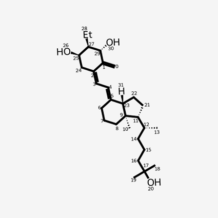 C=C1C(=CC=C2CCC[C@]3(C)[C@@H]([C@H](C)CCCC(C)(C)O)CC[C@@H]23)C[C@@H](O)[C@@H](CC)[C@@H]1O